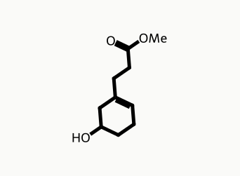 COC(=O)CCC1=CCCC(O)C1